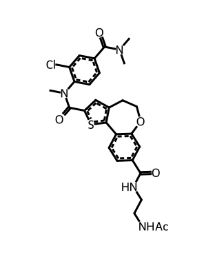 CC(=O)NCCNC(=O)c1ccc2c(c1)OCCc1cc(C(=O)N(C)c3ccc(C(=O)N(C)C)cc3Cl)sc1-2